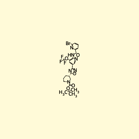 CC(C)(C)OC(=O)N1CCC[C@H](c2nc(-c3cnc(NC(=O)c4cccc(Br)n4)c(OC(F)(F)F)c3)no2)C1